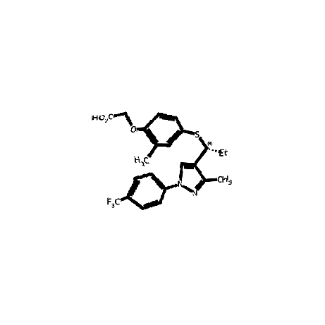 CC[C@@H](Sc1ccc(OCC(=O)O)c(C)c1)c1cn(-c2ccc(C(F)(F)F)cc2)nc1C